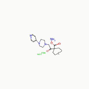 Cl.Cl.NOC(=O)C1(C(=O)CN2CCN(c3ccncc3)CC2)CCCCC1